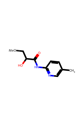 COCC(O)C(=O)Nc1ccc(C)cn1